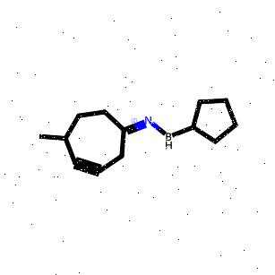 CC1C#CC/C(=N\BC2CCCC2)CC1